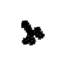 C1=CC2C=C(C3CC(C4=Cc5ccccc5C5C=CC=CC45)=NC(c4ccc(-c5ccccn5)cc4)=N3)C3=C(CCCC3)C2C=C1